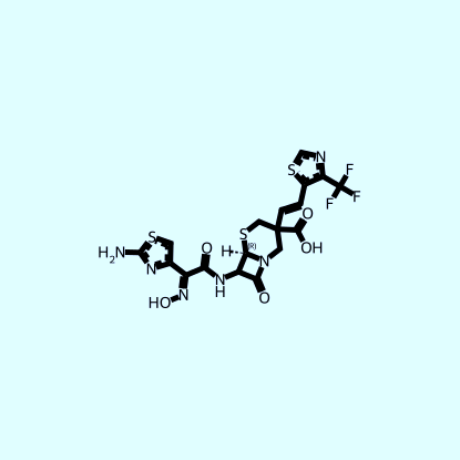 Nc1nc(C(=NO)C(=O)NC2C(=O)N3CC(C=Cc4scnc4C(F)(F)F)(C(=O)O)CS[C@H]23)cs1